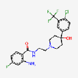 Nc1cc(F)ccc1C(=O)NCCN1CCC(O)(c2ccc(Cl)c(C(F)(F)F)c2)CC1